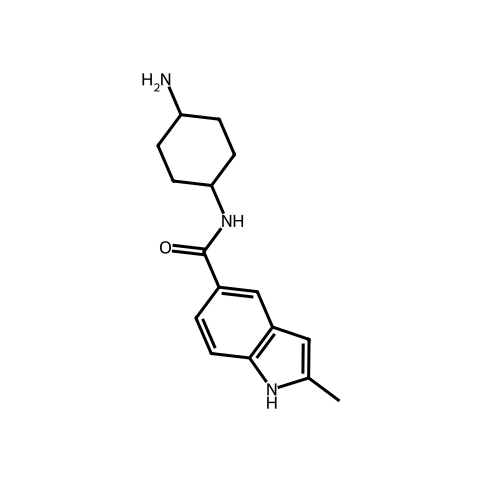 Cc1cc2cc(C(=O)NC3CCC(N)CC3)ccc2[nH]1